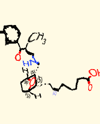 CC(=CNC[C@@H]1[C@H](C/C=C\CCCC(=O)O)[C@@H]2CC[C@H]1O2)C(=O)c1ccccc1